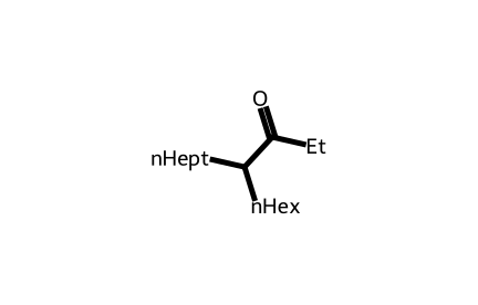 CCCCCCCC(CCCCCC)C(=O)CC